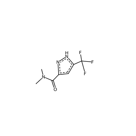 CN(C)C(=O)c1cc(C(F)(F)F)[nH]n1